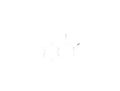 CC(=O)N1c2cnc(Br)cc2CC[C@@H]1C